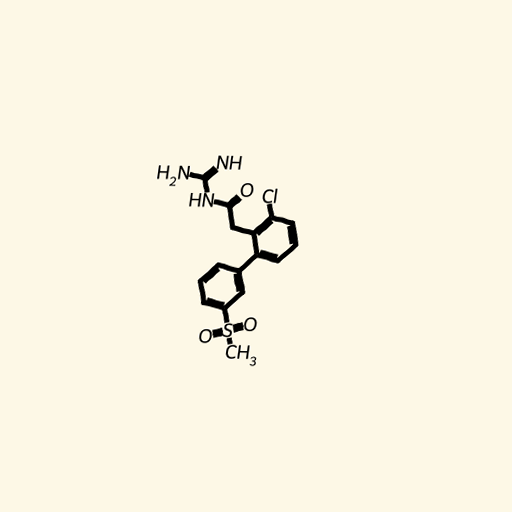 CS(=O)(=O)c1cccc(-c2cccc(Cl)c2CC(=O)NC(=N)N)c1